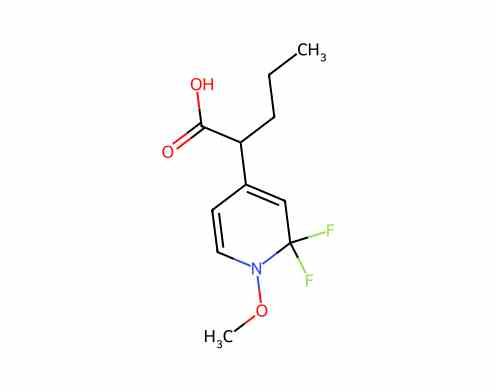 CCCC(C(=O)O)C1=CC(F)(F)N(OC)C=C1